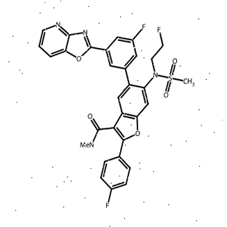 CNC(=O)c1c(-c2ccc(F)cc2)oc2cc(N(CCF)S(C)(=O)=O)c(-c3cc(F)cc(-c4nc5ncccc5o4)c3)cc12